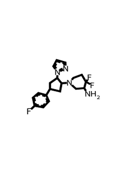 NC1CN(C2CC(c3ccc(F)cc3)CC2n2cccn2)CCC1(F)F